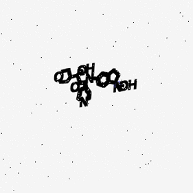 O=C(c1oc2cnccc2c1Nc1ccc2c(c1)CC/C2=N\O)C1CCOCC1